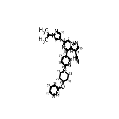 CC(C)n1cc(-c2cn3ncc(C#N)c3c(-c3ccc(N4CCC(Oc5ccccn5)CC4)nc3)n2)cn1